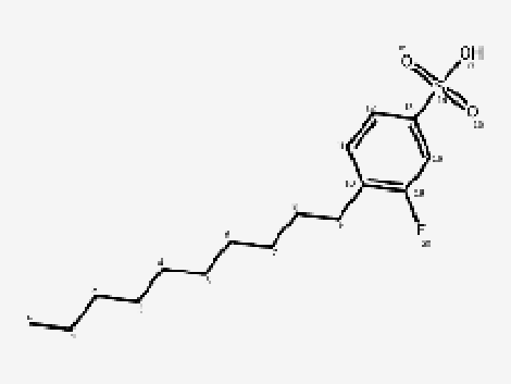 CCCCCCCCCCc1ccc(S(=O)(=O)O)cc1F